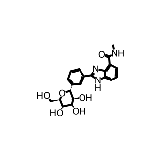 CNC(=O)c1cccc2[nH]c(-c3cccc([C@H]4O[C@H](CO)[C@@H](O)[C@H](O)[C@@H]4O)c3)nc12